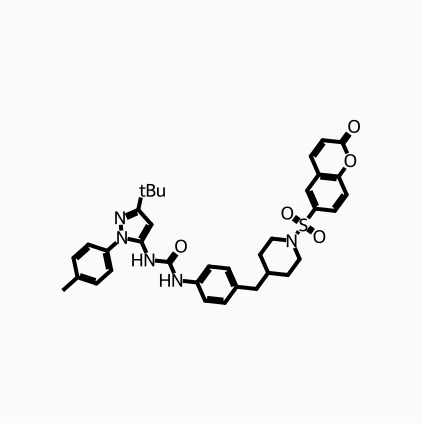 Cc1ccc(-n2nc(C(C)(C)C)cc2NC(=O)Nc2ccc(CC3CCN(S(=O)(=O)c4ccc5oc(=O)ccc5c4)CC3)cc2)cc1